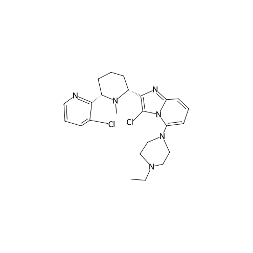 CCN1CCN(c2cccc3nc([C@H]4CCC[C@@H](c5ncccc5Cl)N4C)c(Cl)n23)CC1